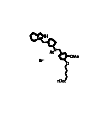 CCCCCCCCCCCCCCOc1ccc(CN(C(C)=O)c2cccc(Cc3[nH]cc4cccc[n+]34)c2)cc1OC.[Br-]